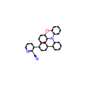 N#Cc1ncccc1-c1ccc(-c2ccccc2N2c3ccccc3Oc3ccccc32)cc1